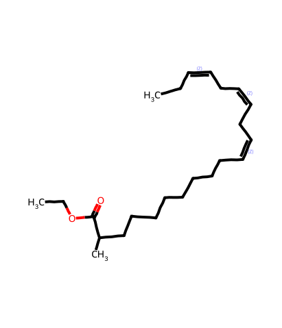 CC/C=C\C/C=C\C/C=C\CCCCCCCCC(C)C(=O)OCC